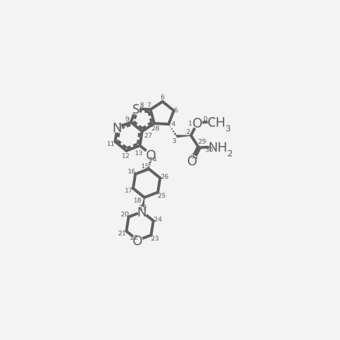 CO[C@H](C[C@H]1CCc2sc3nccc(O[C@H]4CC[C@H](N5CCOCC5)CC4)c3c21)C(N)=O